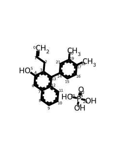 C=CCc1c(O)cc2ccccc2c1-c1ccc(C)c(C)c1.O=P(O)(O)O